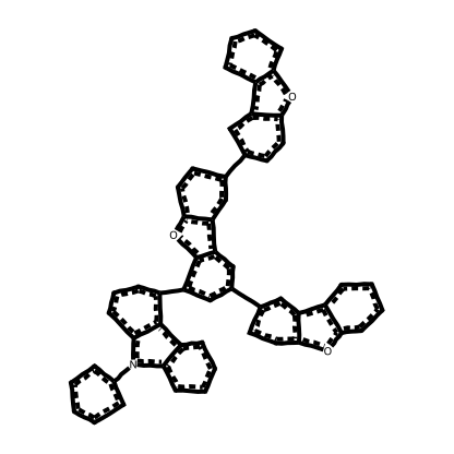 c1ccc(-n2c3ccccc3c3c(-c4cc(-c5ccc6oc7ccccc7c6c5)cc5c4oc4ccc(-c6ccc7oc8ccccc8c7c6)cc45)cccc32)cc1